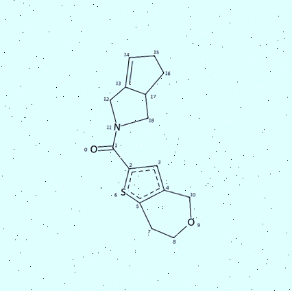 O=C(c1cc2c(s1)CCOC2)N1CC2=CCCC2C1